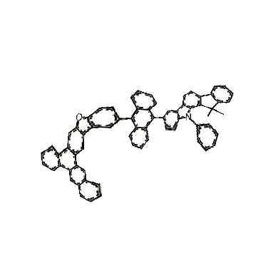 CC1(C)c2ccccc2-c2ccc3c4cc(-c5c6ccccc6c(-c6ccc7oc8cc9c%10ccccc%10c%10cc%11ccccc%11cc%10c9cc8c7c6)c6ccccc56)ccc4n(-c4ccccc4)c3c21